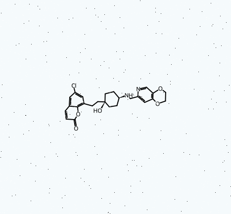 O=c1ccc2cc(Cl)cc(CC[C@]3(O)CC[C@@H](NCc4cc5c(cn4)OCCO5)CC3)c2o1